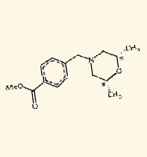 COC(=O)c1ccc(CN2C[C@@H](C)O[C@@H](C)C2)cc1